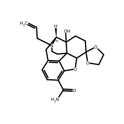 C=CCN1CCC23c4c5ccc(C(N)=O)c4OC2C2(CCC3(O)[C@H]1C5)OCCO2